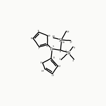 C[Si](C)(C)[CH]([Ti]([C]1=CC=CC1)[C]1=CC=CC1)[Si](C)(C)C